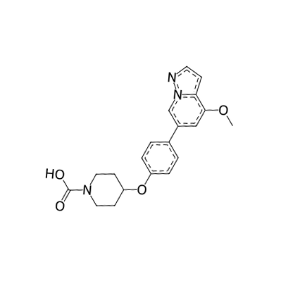 COc1cc(-c2ccc(OC3CCN(C(=O)O)CC3)cc2)cn2nccc12